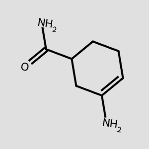 NC(=O)C1CCC=C(N)C1